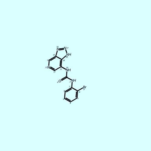 O=C(Nc1ccccc1Br)Nc1cncc2nn[nH]c12